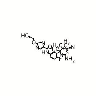 C#CCOc1cnc(C(=O)Nc2ccc(F)c([C@@]3(C)N=C(N)S[C@](C)(C#N)[C@H]3C)c2)cn1